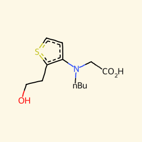 CCCCN(CC(=O)O)c1ccsc1CCO